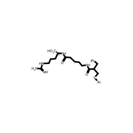 CC(=O)SCC(CC(C)C)C(=O)NCCCCC(=O)N[C@@H](CCCNC(=N)N)C(=O)O